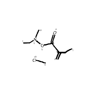 C=C(C)C(=O)ON(C)C.CCl